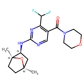 C[C@]12CC[C@](C)(O1)[C@@H](Nc1ncc(C(=O)N3CCOCC3)c(C(F)F)n1)C2